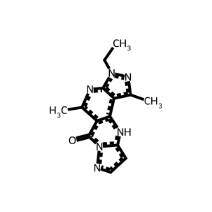 CCn1nc(C)c2c3[nH]c4ccnn4c(=O)c3c(C)nc21